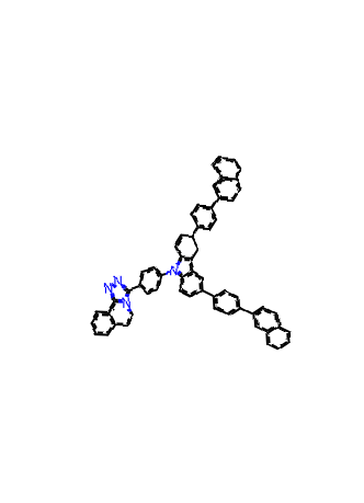 C1=CC(c2ccc(-c3ccc4ccccc4c3)cc2)Cc2c1n(-c1ccc(-c3nnc4c5ccccc5ccn34)cc1)c1ccc(-c3ccc(-c4ccc5ccccc5c4)cc3)cc21